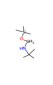 CC(C)(C)N[SiH2]O[Si](C)(C)C